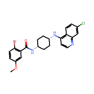 COc1ccc(Br)c(C(=O)N[C@H]2CC[C@@H](Nc3ccnc4cc(Cl)ccc34)CC2)c1